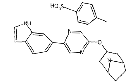 CN1C2CCC1CC(Oc1cnc(-c3ccc4cc[nH]c4c3)cn1)C2.Cc1ccc(S(=O)(=O)O)cc1